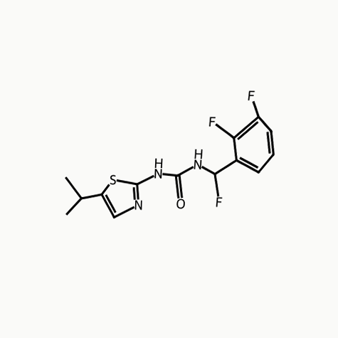 CC(C)c1cnc(NC(=O)NC(F)c2cccc(F)c2F)s1